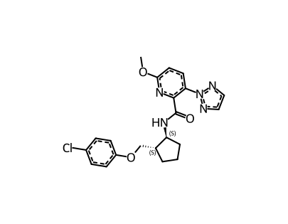 COc1ccc(-n2nccn2)c(C(=O)N[C@H]2CCC[C@@H]2COc2ccc(Cl)cc2)n1